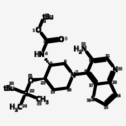 CC(C)(C)OC(=O)N[C@@H]1CN(c2c(N)cnc3ccsc23)CC[C@H]1O[Si](C)(C)C(C)(C)C